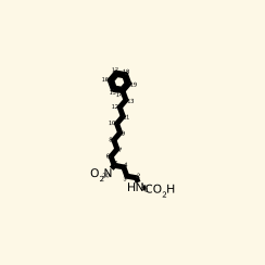 O=C(O)NCCCC(CCCCCCCCc1ccccc1)[N+](=O)[O-]